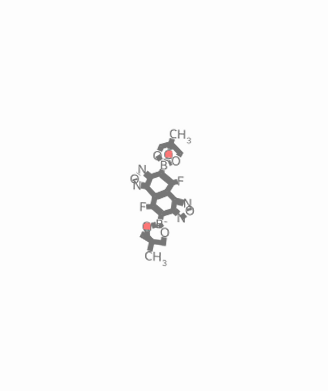 CC12CO[B-](c3c(F)c4c5nonc5c([B-]56OCC(C)(CO5)CO6)c(F)c4c4nonc34)(OC1)OC2